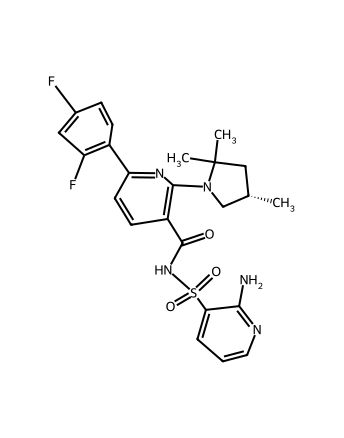 C[C@@H]1CN(c2nc(-c3ccc(F)cc3F)ccc2C(=O)NS(=O)(=O)c2cccnc2N)C(C)(C)C1